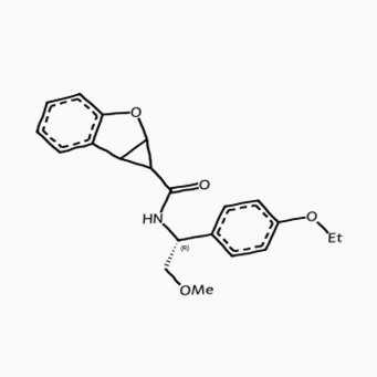 CCOc1ccc([C@H](COC)NC(=O)C2C3Oc4ccccc4C32)cc1